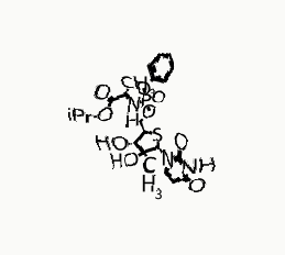 CC(C)OC(=O)[C@@H](C)NP(=O)(OC[C@H]1S[C@@H](n2ccc(=O)[nH]c2=O)[C@](C)(O)[C@@H]1O)Oc1ccccc1